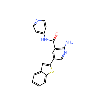 Nc1ncc(-c2cc3ccccc3s2)cc1C(=O)Nc1ccncc1